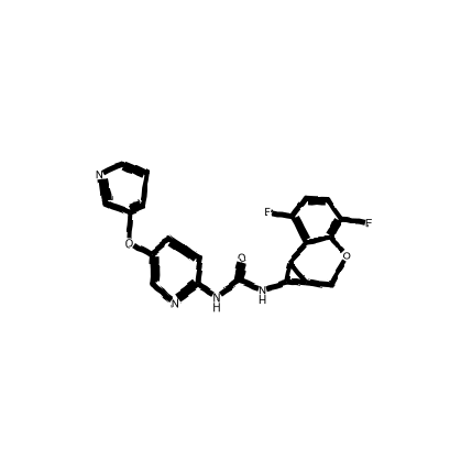 O=C(Nc1ccc(Oc2cccnc2)cn1)NC1C2COc3c(F)ccc(F)c3C21